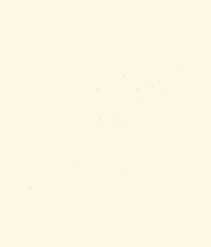 COCCOC1=CC=C(N=Nc2c(C#N)[nH]n(-c3ccccc3)c2=O)CC1=S(=O)=O